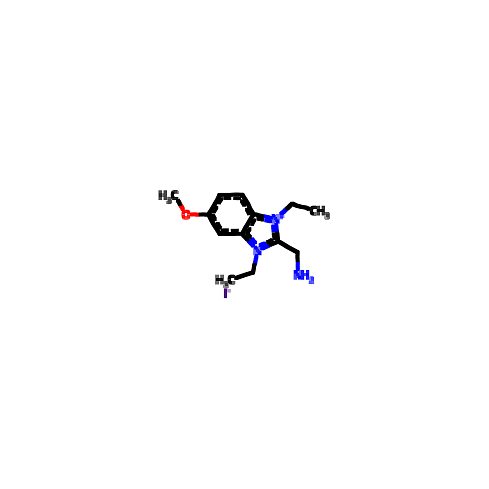 CCn1c(CN)[n+](CC)c2ccc(OC)cc21.[I-]